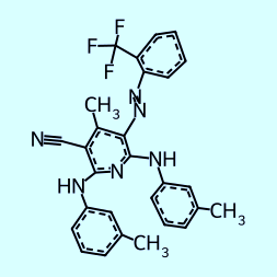 Cc1cccc(Nc2nc(Nc3cccc(C)c3)c(N=Nc3ccccc3C(F)(F)F)c(C)c2C#N)c1